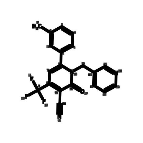 Cc1cccc(-c2cc(C(F)(F)F)c(C#N)c(=O)n2Cc2cccnc2)c1